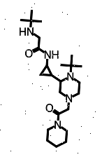 CC(C)(C)NCC(=O)NC1CC1C1CN(CC(=O)N2CCCCC2)CCN1C(C)(C)C